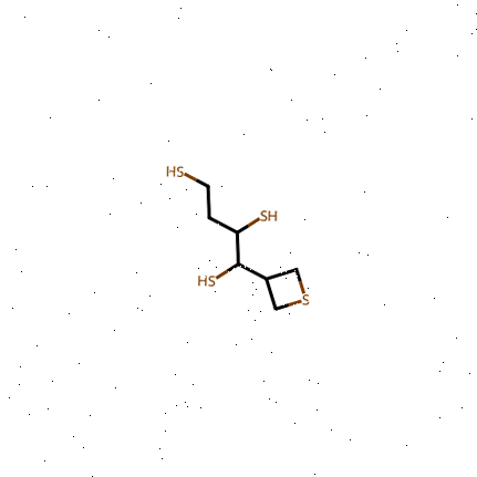 SCCC(S)C(S)C1CSC1